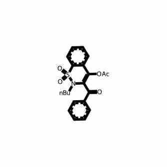 CCCCN1C(C(=O)c2ccccc2)=C(OC(C)=O)c2ccccc2S1(=O)=O